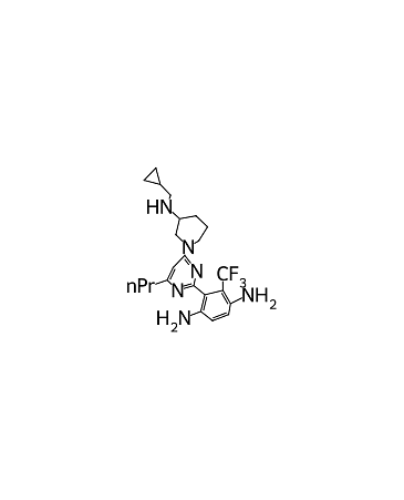 CCCc1cc(N2CCCC(NCC3CC3)C2)nc(-c2c(N)ccc(N)c2C(F)(F)F)n1